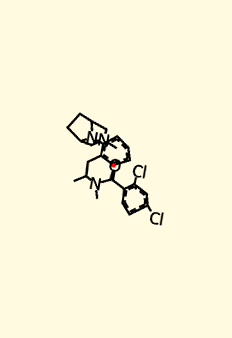 CC(Cc1ccccc1N1C2CCC1CN(C)C2)N(C)C(=O)c1ccc(Cl)cc1Cl